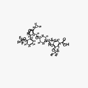 O=C(O)c1cc(OC(F)(F)F)c2nc(N3CCC(OCc4c(-c5ccccc5OC(F)(F)F)noc4C4CC4)CC3)sc2c1